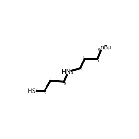 CCCCCCCNCCCS